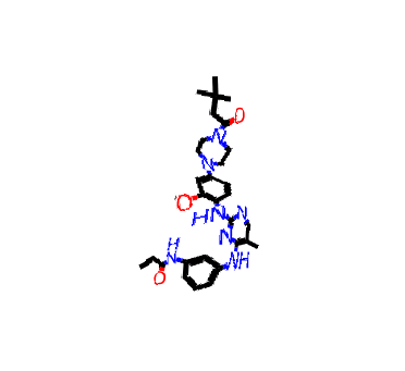 C=CC(=O)Nc1cccc(Nc2nc(Nc3ccc(N4CCN(C(=O)CC(C)(C)C)CC4)cc3OC)ncc2C)c1